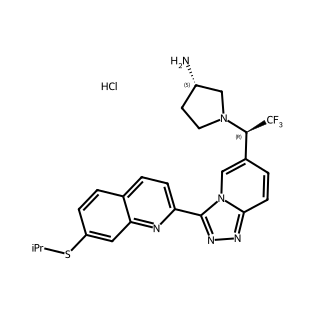 CC(C)Sc1ccc2ccc(-c3nnc4ccc([C@@H](N5CC[C@H](N)C5)C(F)(F)F)cn34)nc2c1.Cl